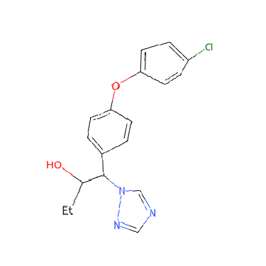 CCC(O)C(c1ccc(Oc2ccc(Cl)cc2)cc1)n1cncn1